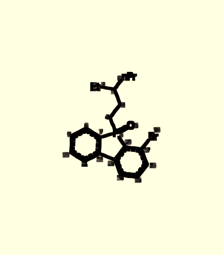 CCCC(CC)CCP1(=O)c2ccccc2-c2cccc(Br)c21